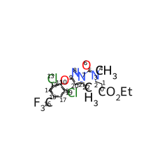 CCOC(=O)CCN(C)C(=O)n1nc(Oc2c(Cl)cc(C(F)(F)F)cc2Cl)cc1C